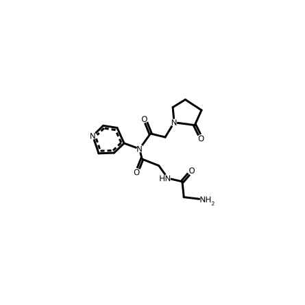 NCC(=O)NCC(=O)N(C(=O)CN1CCCC1=O)c1ccncc1